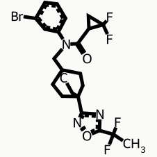 CC(F)(F)c1nc(C23CCC(CN(C(=O)C4CC4(F)F)c4cccc(Br)c4)(CC2)CC3)no1